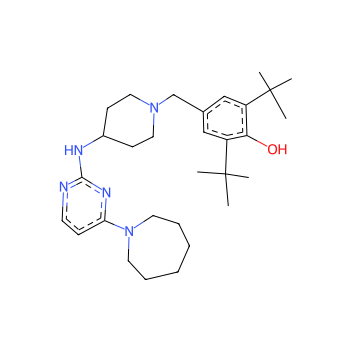 CC(C)(C)c1cc(CN2CCC(Nc3nccc(N4CCCCCC4)n3)CC2)cc(C(C)(C)C)c1O